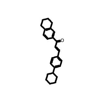 O=C(C=Cc1ccc(C2CCCCC2)cc1)c1ccc2c(c1)CCCC2